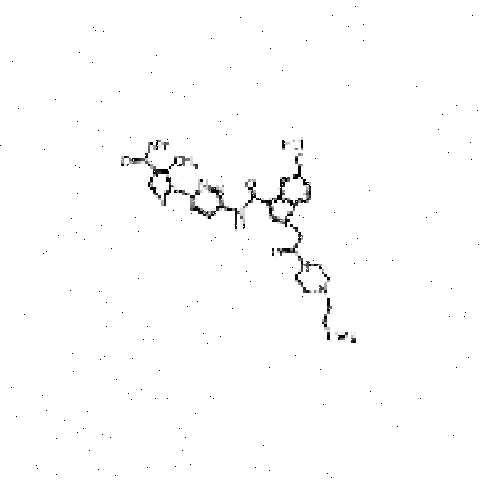 CCCC(=O)c1cnn(-c2ccc(NC(=O)c3cn(CC(=O)N4CCN(CCOC)CC4)c4ccc(Cl)cc34)nn2)c1C.Cl